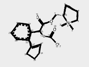 C[N+]1(C)CCC[C@H]1COC(=O)C(OC(=O)C(F)(F)F)c1ccccc1C1=CCCC1